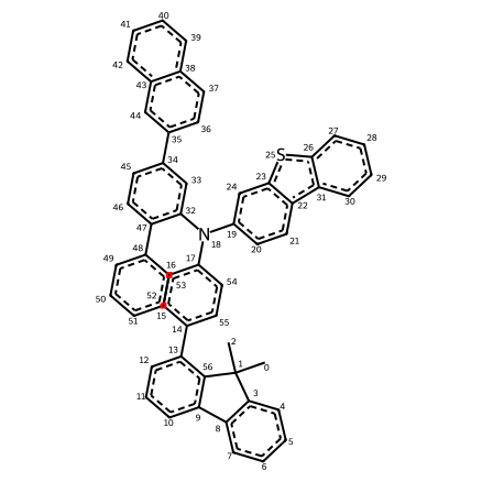 CC1(C)c2ccccc2-c2cccc(-c3ccc(N(c4ccc5c(c4)sc4ccccc45)c4cc(-c5ccc6ccccc6c5)ccc4-c4ccccc4)cc3)c21